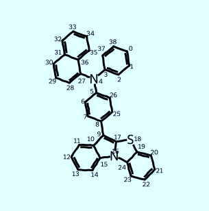 c1ccc(N(c2ccc(-c3c4ccccc4n4c3sc3ccccc34)cc2)c2cccc3ccccc23)cc1